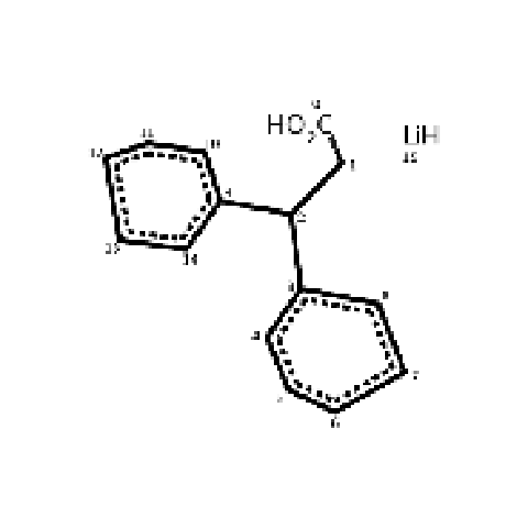 O=C(O)CC(c1ccccc1)c1ccccc1.[LiH]